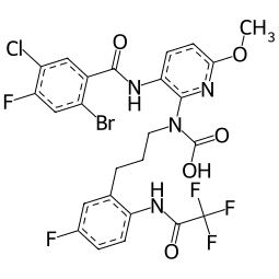 COc1ccc(NC(=O)c2cc(Cl)c(F)cc2Br)c(N(CCCc2cc(F)ccc2NC(=O)C(F)(F)F)C(=O)O)n1